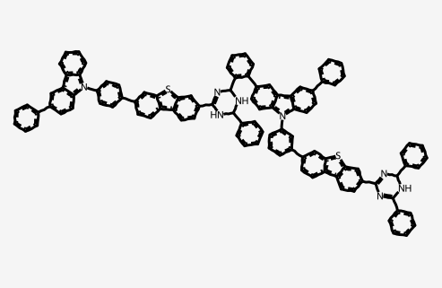 c1ccc(C2=NC(c3ccc4c(c3)sc3cc(-c5cccc(-n6c7ccc(-c8ccccc8)cc7c7cc(-c8ccccc8C8N=C(c9ccc%10c(c9)sc9cc(-c%11ccc(-n%12c%13ccccc%13c%13cc(-c%14ccccc%14)ccc%13%12)cc%11)ccc9%10)NC(c9ccccc9)N8)ccc76)c5)ccc34)=NC(c3ccccc3)N2)cc1